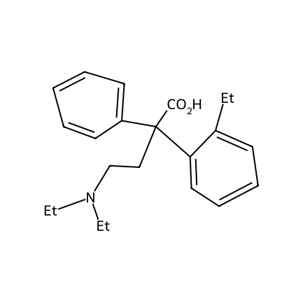 CCc1ccccc1C(CCN(CC)CC)(C(=O)O)c1ccccc1